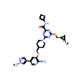 Cn1cc(-c2cnc(N)c(OCC3CCN(c4nc(OC[C@H]5C[C@H]5C#N)nc(C(=O)NC5CCC5)n4)CC3)c2)cn1